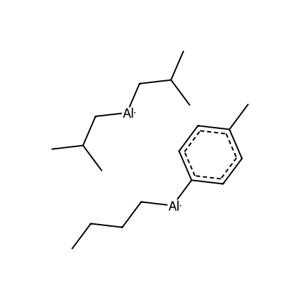 CC(C)[CH2][Al][CH2]C(C)C.CCC[CH2][Al][c]1ccc(C)cc1